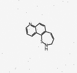 C1=Cc2ccc3ncccc3c2SNC1